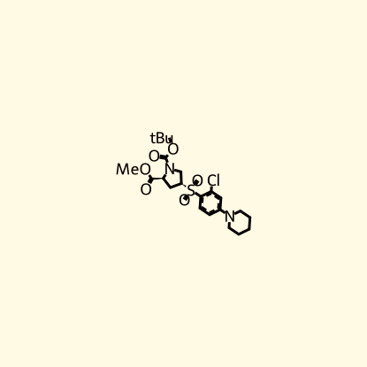 COC(=O)[C@@H]1C[C@@H](S(=O)(=O)c2ccc(N3CCCCC3)cc2Cl)CN1C(=O)OC(C)(C)C